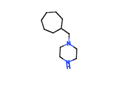 C1CCCC(CN2CCNCC2)CC1